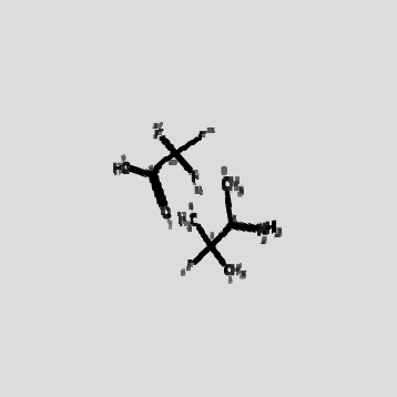 CC(N)C(C)(C)F.O=C(O)C(F)(F)F